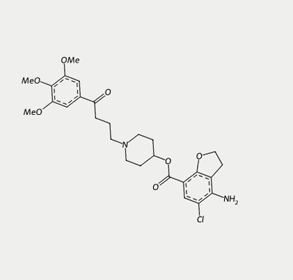 COc1cc(C(=O)CCCN2CCC(OC(=O)c3cc(Cl)c(N)c4c3OCC4)CC2)cc(OC)c1OC